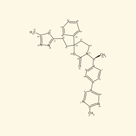 Cc1ncc(-c2ccc([C@H](C)N3CCC(CCc4nnc(C)o4)(c4ccccc4)OC3=O)cc2)cn1